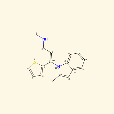 CNCC[C@H](c1cccs1)n1c(C)cc2ccccc21